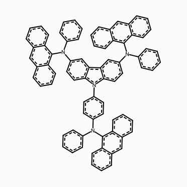 c1ccc(N(c2ccc(-n3c4ccc(N(c5ccccc5)c5c6ccccc6cc6ccccc56)cc4c4cc(N(c5ccccc5)c5c6ccccc6cc6ccccc56)ccc43)cc2)c2c3ccccc3cc3ccccc23)cc1